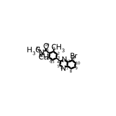 Cc1cc(-c2cnc3cccc(Br)c3n2)ccc1C(=O)N(C)C